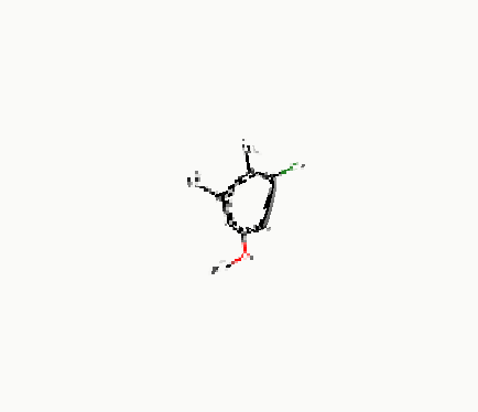 Cc1c(Cl)cc(OC(C)C)cc1C#N